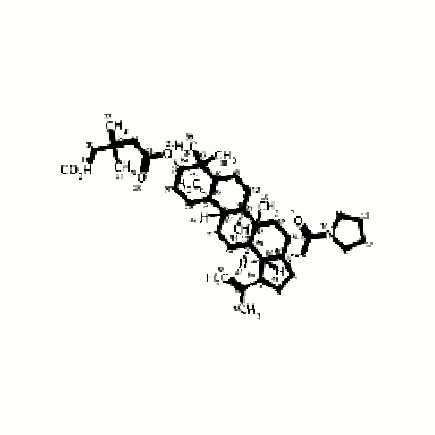 C=C(C)[C@@H]1CC[C@]2(CC(=O)N3CCCC3)CC[C@]3(C)[C@H](CC[C@@H]4[C@@]5(C)CC[C@H](OC(=O)CC(C)(C)CC(=O)O)C(C)(C)C5CC[C@]43C)[C@@H]12